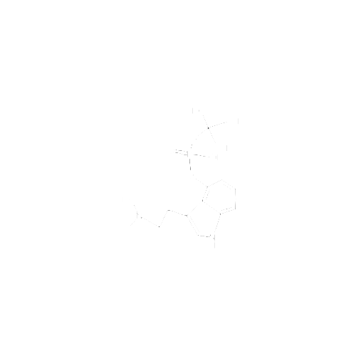 CN(C)CCc1c[nH]c2cccc(OP(=O)(O)OC(C)(C)C)c12